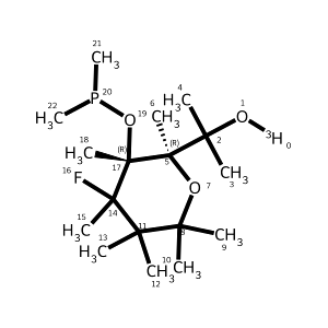 [3H]OC(C)(C)[C@@]1(C)OC(C)(C)C(C)(C)C(C)(F)[C@]1(C)OP(C)C